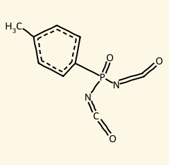 Cc1ccc(P(=O)(N=C=O)N=C=O)cc1